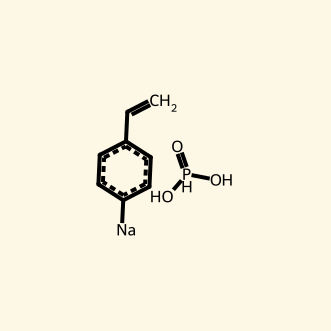 C=Cc1cc[c]([Na])cc1.O=[PH](O)O